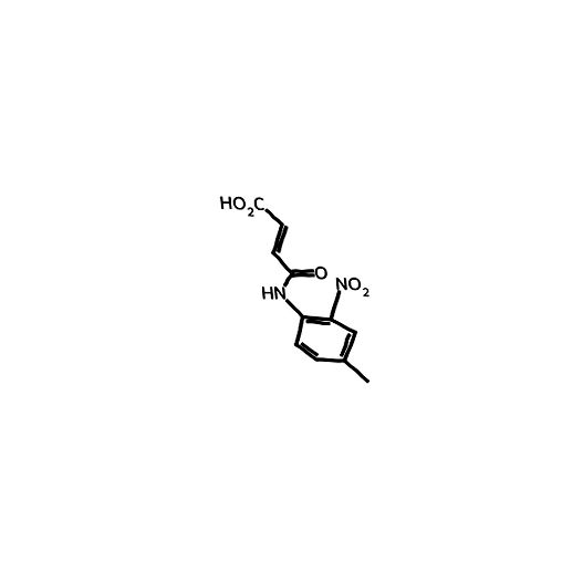 Cc1ccc(NC(=O)C=CC(=O)O)c([N+](=O)[O-])c1